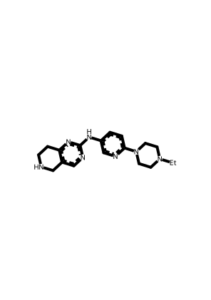 CCN1CCN(c2ccc(Nc3ncc4c(n3)CCNC4)cn2)CC1